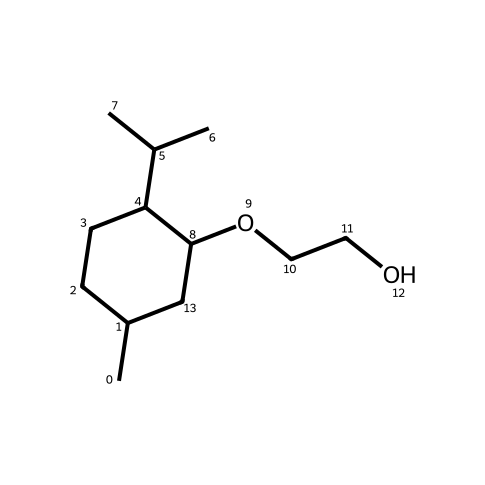 CC1CCC(C(C)C)C(OCCO)C1